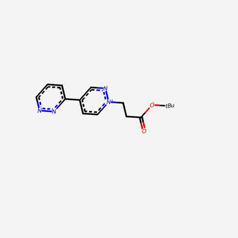 CC(C)(C)OC(=O)CC[n+]1ccc(-c2cccnn2)cn1